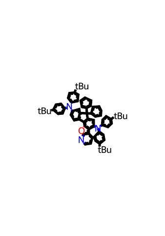 CC(C)(C)c1ccc(N(c2ccc(C(C)(C)C)cc2)c2ccc3c(c2)C(c2ccccc2)(c2ccccc2)c2cc(N(c4ccc(C(C)(C)C)cc4)c4ccc(C(C)(C)C)cc4)c4c(oc5ncccc54)c2-3)cc1